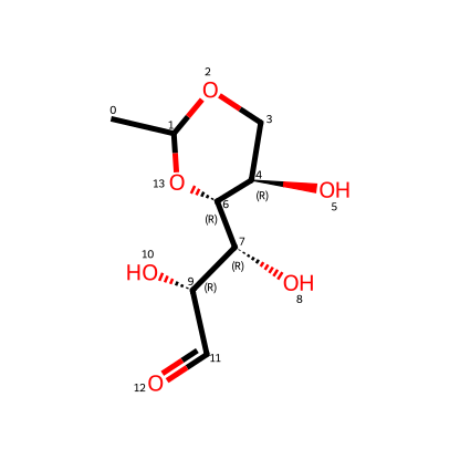 CC1OC[C@@H](O)[C@H]([C@H](O)[C@@H](O)C=O)O1